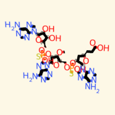 CO[C@H]1[C@@H](OP(O)(=S)OC[C@H]2O[C@@H](n3cnc4c(N)ncnc43)[C@H](O)[C@@H]2O)[C@H](n2cnc3c(N)ncnc32)O[C@@H]1COP(O)(=S)O[C@@H]1C[C@@H](CCC(=O)O)O[C@H]1n1cnc2c(N)ncnc21